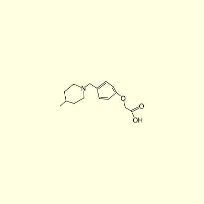 CC1CCN(Cc2ccc(OCC(=O)O)cc2)CC1